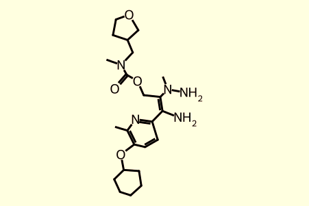 Cc1nc(/C(N)=C(\COC(=O)N(C)CC2CCOC2)N(C)N)ccc1OC1CCCCC1